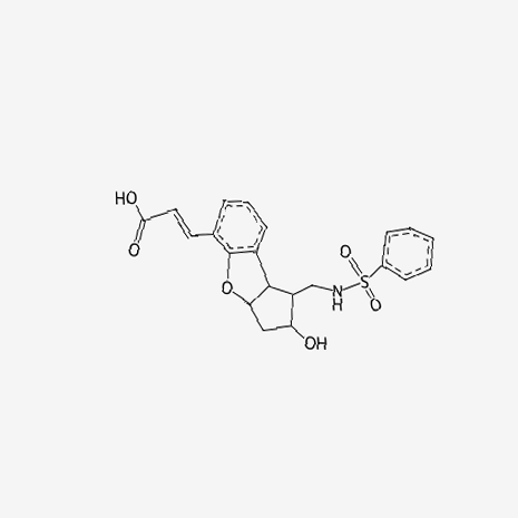 O=C(O)C=Cc1cccc2c1OC1CC(O)C(CNS(=O)(=O)c3ccccc3)C21